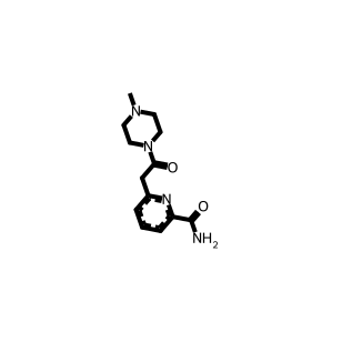 CN1CCN(C(=O)Cc2cccc(C(N)=O)n2)CC1